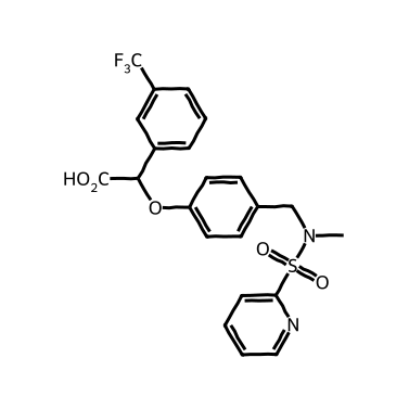 CN(Cc1ccc(OC(C(=O)O)c2cccc(C(F)(F)F)c2)cc1)S(=O)(=O)c1ccccn1